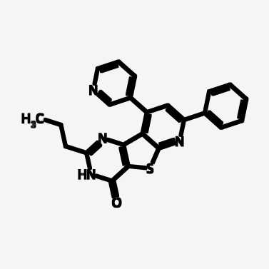 CCCc1nc2c(sc3nc(-c4ccccc4)cc(-c4cccnc4)c32)c(=O)[nH]1